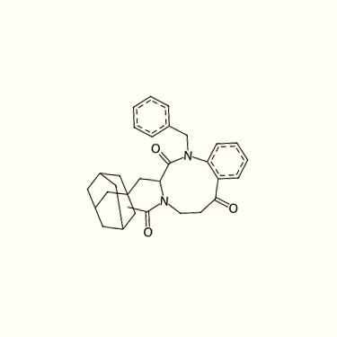 CC(=O)N1CCC(=O)c2ccccc2N(Cc2ccccc2)C(=O)C1CC12CC3CC(CC(C3)C1)C2